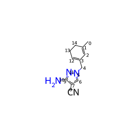 CC1=CC(Cn2cc(C#N)c(N)n2)=CCC1